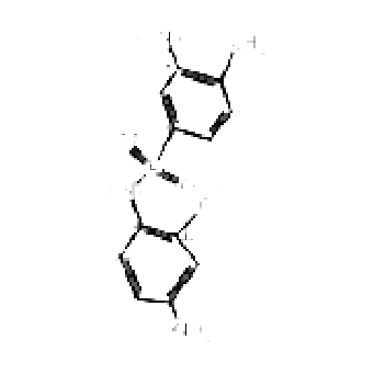 Cc1ccc(S(=O)(=O)Nc2ccc([N+](=O)[O-])cc2Cl)cc1[N+](=O)[O-]